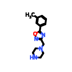 Cc1cccc(-c2nc(CN3CCNCC3)no2)c1